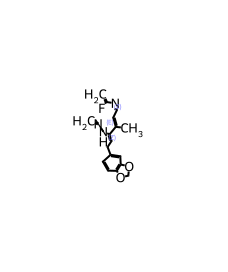 C=NNC(=C\Cc1ccc2c(c1)OCO2)/C(C)=C/C=N\C(=C)F